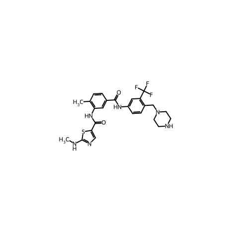 CNc1ncc(C(=O)Nc2cc(C(=O)Nc3ccc(CN4CCNCC4)c(C(F)(F)F)c3)ccc2C)s1